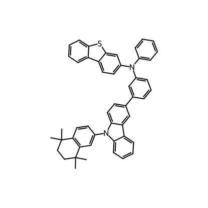 CC1(C)CCC(C)(C)c2cc(-n3c4ccccc4c4cc(-c5cccc(N(c6ccccc6)c6ccc7c(c6)sc6ccccc67)c5)ccc43)ccc21